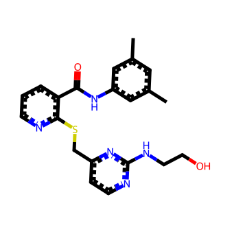 Cc1cc(C)cc(NC(=O)c2cccnc2SCc2ccnc(NCCO)n2)c1